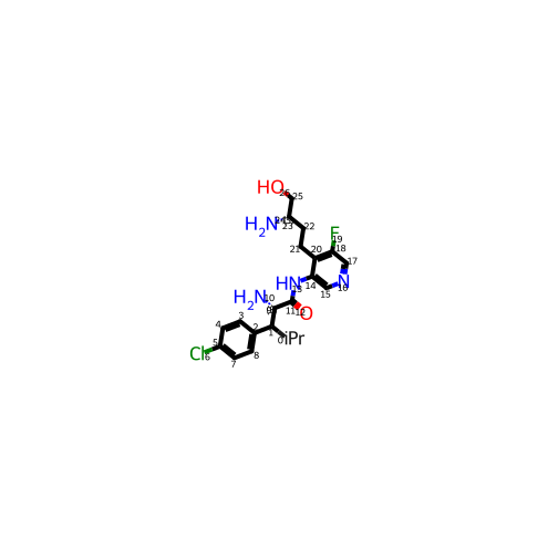 CC(C)C(c1ccc(Cl)cc1)[C@H](N)C(=O)Nc1cncc(F)c1CC[C@H](N)CO